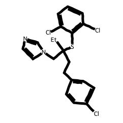 CCC(CCc1ccc(Cl)cc1)(Cn1ccnc1)Sc1c(Cl)cccc1Cl